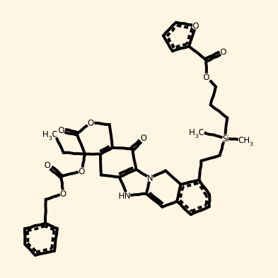 CCC1(OC(=O)OCc2ccccc2)C(=O)OCC2=C1CC1=C(C2=O)N2Cc3c(cccc3CC[Si](C)(C)CCCOC(=O)c3ccco3)C=C2N1